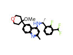 COC1(c2ccc3nc(C)cc(N[C@H](C)c4cccc(C(F)F)c4F)c3c2)CCOCC1